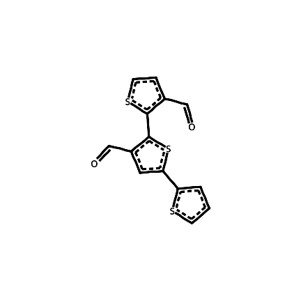 O=Cc1ccsc1-c1sc(-c2cccs2)cc1C=O